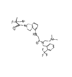 CN(C)CCN(Cc1ccccc1C(F)(F)F)C(=O)CNc1cccc2c1CCN(C(=O)C(C)(F)F)C2